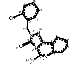 Nc1nc2ccccc2c2nn(Cc3ccccc3Cl)c(=O)n12